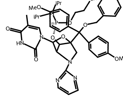 COc1ccc(C(OCc2ccccc2)(c2ccc(OC)cc2)C23CN(c4ncccn4)C(C(n4cc(C)c(=O)[nH]c4=O)O2)C3O[P@@](OCCC#N)N(C(C)C)C(C)C)cc1